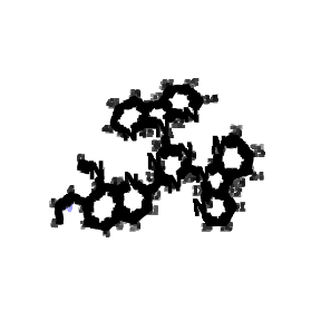 C=Nc1c(/C=C\C)ccc2ccc(-c3nc(-n4c5ncccc5c5cccnc54)nc(-n4c5ncccc5c5cccnc54)n3)nc12